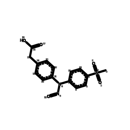 CS(=O)(=O)c1ccc(N(N=O)c2ccc(CC(=O)O)cc2)cc1